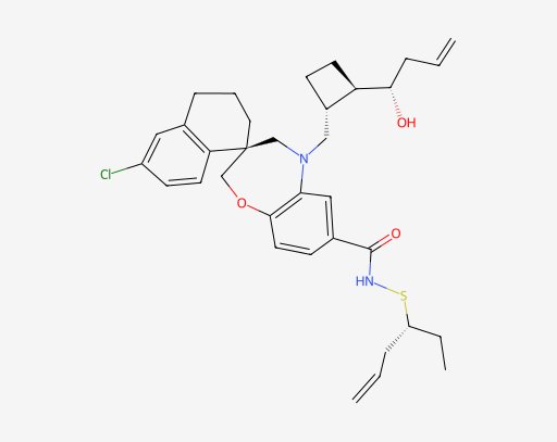 C=CC[C@@H](CC)SNC(=O)c1ccc2c(c1)N(C[C@@H]1CC[C@H]1[C@@H](O)CC=C)C[C@@]1(CCCc3cc(Cl)ccc31)CO2